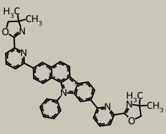 CC1(C)COC(c2cccc(-c3ccc4c(ccc5c6ccc(-c7cccc(C8=NC(C)(C)CO8)n7)cc6n(-c6ccccc6)c45)c3)n2)=N1